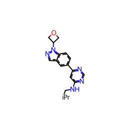 CC(C)CNc1cc(-c2ccc3c(cnn3C3COC3)c2)ncn1